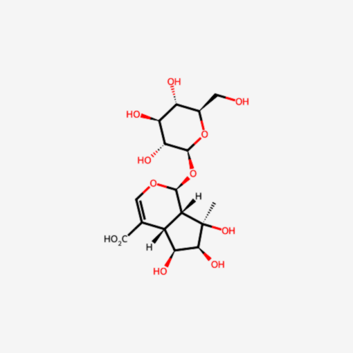 C[C@@]1(O)[C@H]2[C@H](O[C@@H]3O[C@H](CO)[C@@H](O)[C@H](O)[C@H]3O)OC=C(C(=O)O)[C@H]2[C@H](O)[C@@H]1O